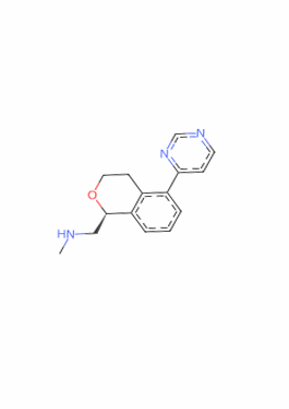 CNC[C@H]1OCCc2c(-c3ccncn3)cccc21